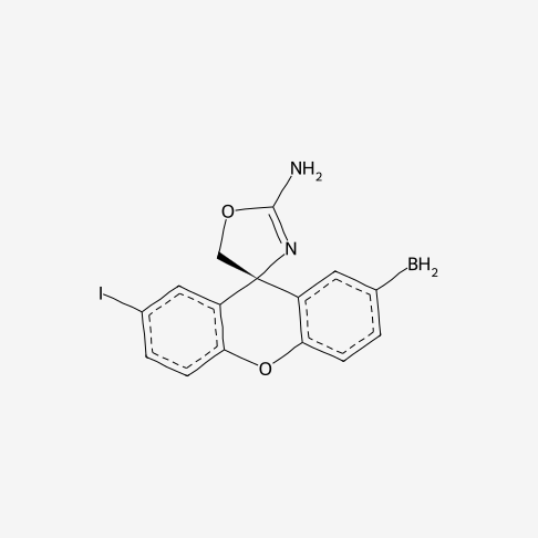 Bc1ccc2c(c1)[C@]1(COC(N)=N1)c1cc(I)ccc1O2